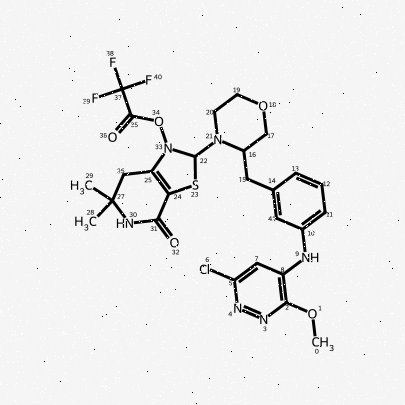 COc1nnc(Cl)cc1Nc1cccc(CC2COCCN2C2SC3=C(CC(C)(C)NC3=O)N2OC(=O)C(F)(F)F)c1